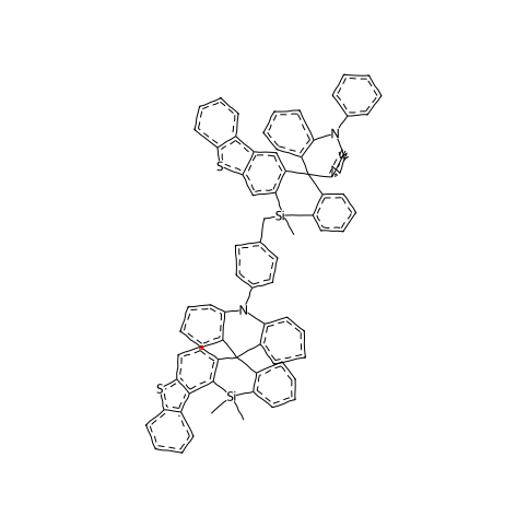 C[Si]1(C)c2ccccc2C2(c3ccccc3N(c3ccc(C[Si]4(C)c5ccccc5C5(c6ccccc6N(c6ccccc6)c6ccccc65)c5cc6c(cc54)sc4ccccc46)cc3)c3ccccc32)c2ccc3sc4ccccc4c3c21